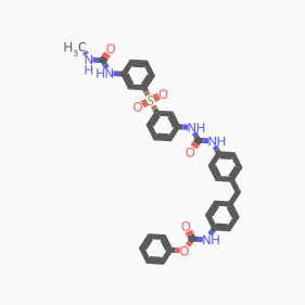 CNC(=O)Nc1cccc(S(=O)(=O)c2cccc(NC(=O)Nc3ccc(Cc4ccc(NC(=O)Oc5ccccc5)cc4)cc3)c2)c1